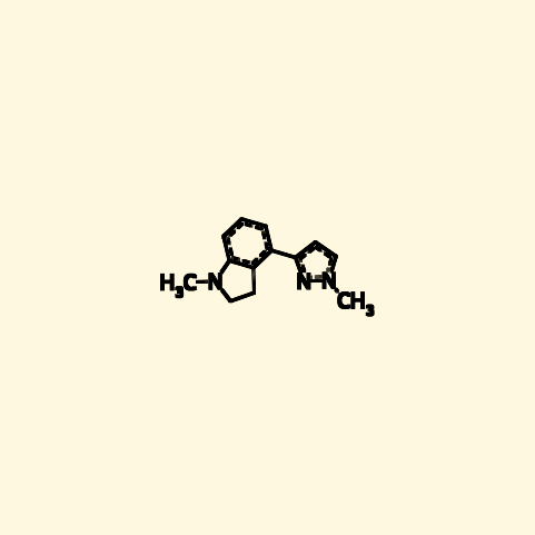 CN1CCc2c(-c3ccn(C)n3)cccc21